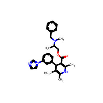 CC1=C(C(=O)O)C(c2cccc(-n3ccnc3)c2)C(C(=O)OCC(C)N(C)Cc2ccccc2)=C(C)N1